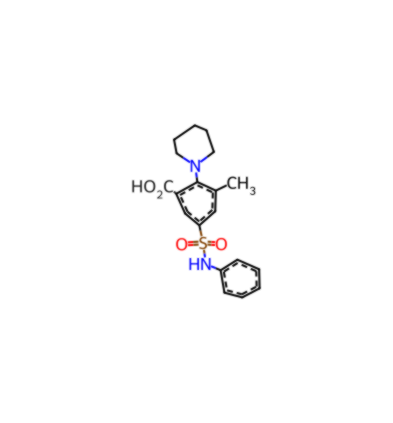 Cc1cc(S(=O)(=O)Nc2ccccc2)cc(C(=O)O)c1N1CCCCC1